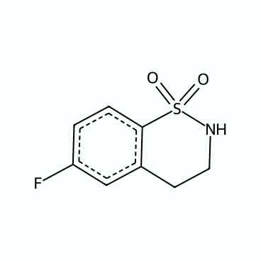 O=S1(=O)NCCc2cc(F)ccc21